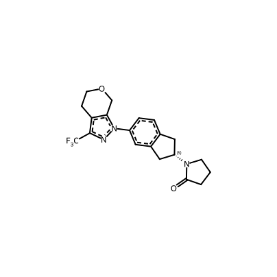 O=C1CCCN1[C@H]1Cc2ccc(-n3nc(C(F)(F)F)c4c3COCC4)cc2C1